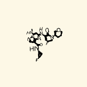 CNc1cc(Nc2cc(F)cn([C@@H]3CCCOC3)c2=O)nc2c(C(=O)N[C@H]3C[C@H]3F)cnn12